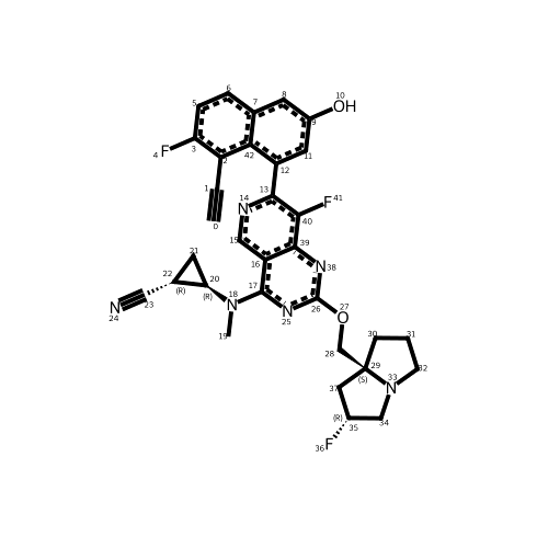 C#Cc1c(F)ccc2cc(O)cc(-c3ncc4c(N(C)[C@@H]5C[C@H]5C#N)nc(OC[C@@]56CCCN5C[C@H](F)C6)nc4c3F)c12